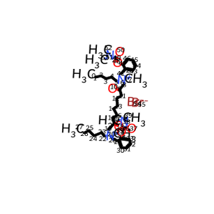 CCCCCC[N+](C)(CC(=O)CCCCCCC(=O)C[N+](C)(CCCCCC)Cc1ccccc1OC(=O)N(C)C)Cc1ccccc1OC(=O)N(C)C.[Br-].[Br-]